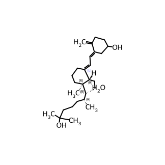 C=C1CCC(O)CC1=C/C=C1\CCC[C@]2(C)[C@@H]([C@H](C)CCCC(C)(C)O)CC[C@@H]12.O